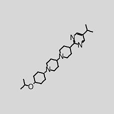 CC(C)O[C@H]1CC[C@@H](N2CCC(N3CCC(c4ncc(C(C)C)cn4)CC3)CC2)CC1